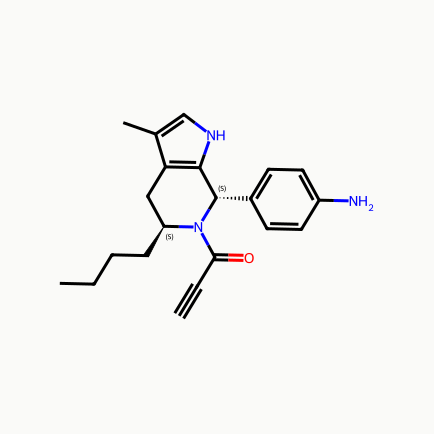 C#CC(=O)N1[C@@H](CCCC)Cc2c(C)c[nH]c2[C@@H]1c1ccc(N)cc1